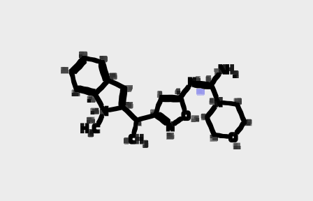 CC(c1cc(/N=C(/N)N2CCOCC2)on1)c1cc2ccccc2n1C